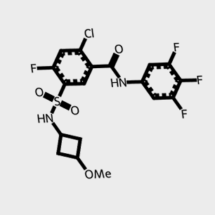 COC1CC(NS(=O)(=O)c2cc(C(=O)Nc3cc(F)c(F)c(F)c3)c(Cl)cc2F)C1